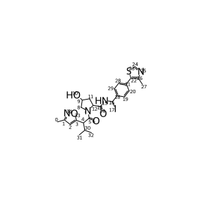 Cc1cc(C(C(=O)N2CC(O)CC2C(=O)NC(I)c2ccc(-c3scnc3C)cc2)C(C)C)on1